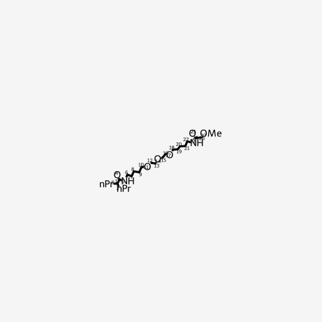 CCCC(CCC)C(=O)NCCCCCOCCOCCOCCCCCNC(=O)COC